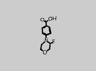 O=C(O)c1ccc(N2CCOCC2F)cc1